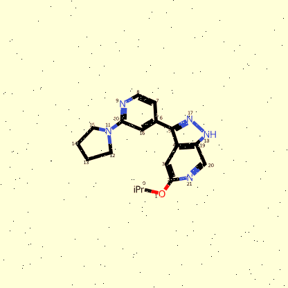 CC(C)Oc1cc2c(-c3ccnc(N4CCCC4)c3)n[nH]c2cn1